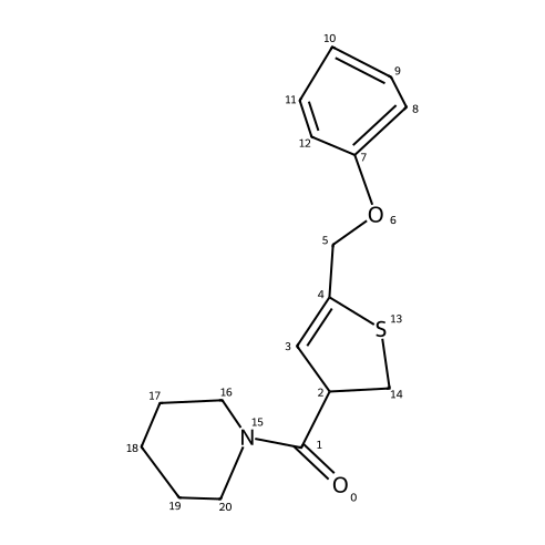 O=C(C1C=C(COc2ccccc2)SC1)N1CCCCC1